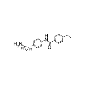 CCc1ccc(C(=O)Nc2ccc([C@@H]3C[C@H]3N)cc2)cc1